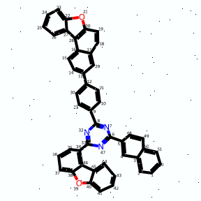 c1ccc2cc(-c3nc(-c4ccc(-c5ccc6c(ccc7oc8ccccc8c76)c5)cc4)nc(-c4cccc5oc6ccccc6c45)n3)ccc2c1